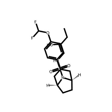 CCC(O)CNC1C[C@H]2CC[C@@H](C1)N2S(=O)(=O)c1ccc(OC(F)F)cc1